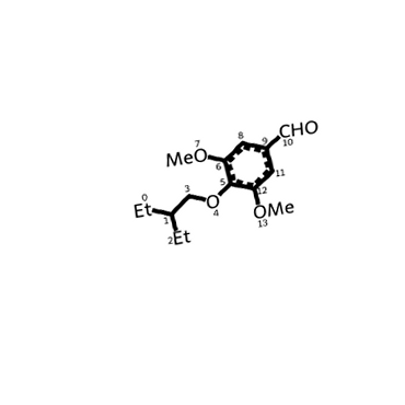 CCC(CC)COc1c(OC)cc(C=O)cc1OC